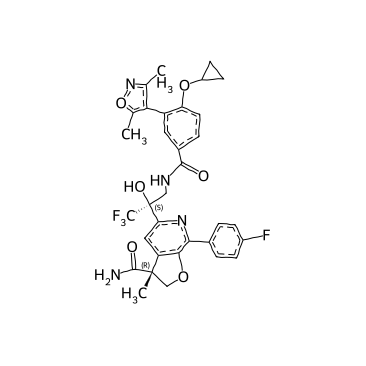 Cc1noc(C)c1-c1cc(C(=O)NC[C@](O)(c2cc3c(c(-c4ccc(F)cc4)n2)OC[C@]3(C)C(N)=O)C(F)(F)F)ccc1OC1CC1